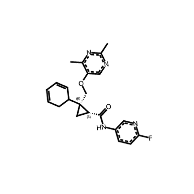 Cc1ncc(OC[C@@]2(C3C=CC=CC3)C[C@H]2C(=O)Nc2ccc(F)nc2)c(C)n1